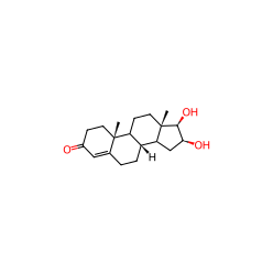 C[C@]12CCC(=O)C=C1CC[C@@H]1C2CC[C@@]2(C)C1C[C@H](O)[C@@H]2O